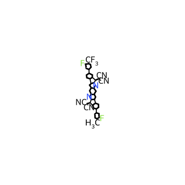 Cc1ccc(-c2ccc3c(c2)C(=C(C#N)C#N)c2nc4cc5cc6c(nc5cc4cc2-3)C(=C(C#N)C#N)c2cc(-c3ccc(C(F)(F)F)c(F)c3)ccc2-6)cc1F